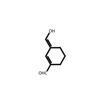 O=CC1=C/C(=C/O)CCC1